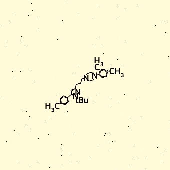 Cc1ccc(-c2cc(CCCN3CCN(c4ccc(C)cc4C)CC3)nn2C(C)(C)C)cc1